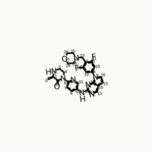 C=C1NCCN(c2ccc(Nc3ncc4ccn(-c5cc(F)c(CN6CCOCC6)c(F)c5)c4n3)cn2)C1=O